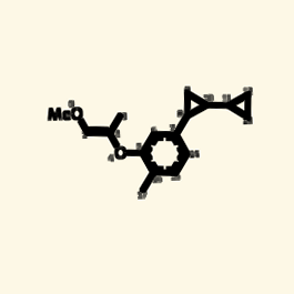 CO/C=C(\C)Oc1cc(C2CC2C2CC2)ccc1C